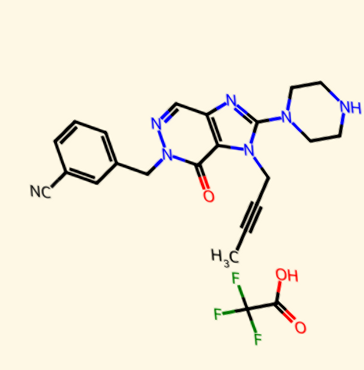 CC#CCn1c(N2CCNCC2)nc2cnn(Cc3cccc(C#N)c3)c(=O)c21.O=C(O)C(F)(F)F